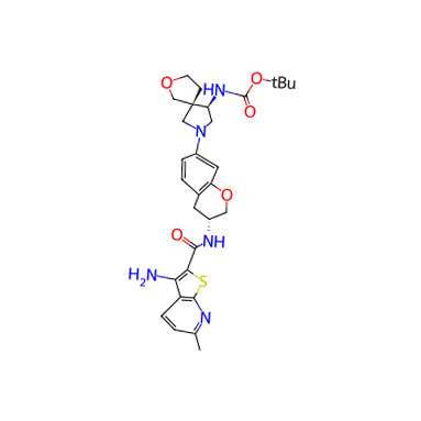 Cc1ccc2c(N)c(C(=O)N[C@H]3COc4cc(N5C[C@H](NC(=O)OC(C)(C)C)[C@]6(CCOC6)C5)ccc4C3)sc2n1